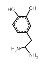 NC(N)Cc1ccc(O)c(O)c1